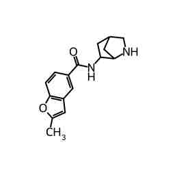 Cc1cc2cc(C(=O)NC3CC4CNC3C4)ccc2o1